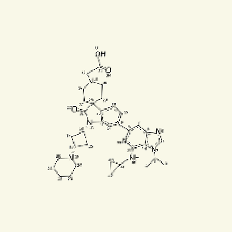 CC(C)n1cnc2cc(-c3ccc4c(c3)N([C@H]3C[C@@H](N5CCCCC5)C3)C(=O)C43CCN(CC(=O)O)CC3)nc(NC3CC3)c21